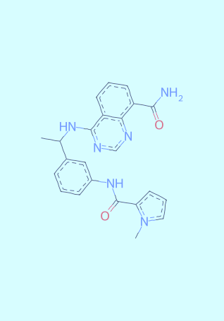 CC(Nc1ncnc2c(C(N)=O)cccc12)c1cccc(NC(=O)c2cccn2C)c1